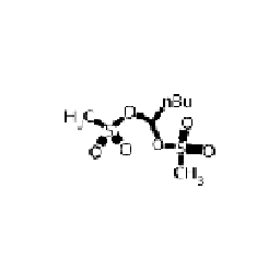 CCCCC(OS(C)(=O)=O)OS(C)(=O)=O